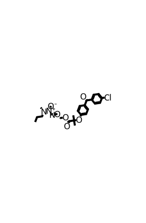 CCCN(C)/[N+]([O-])=N/OCOC(=O)C(C)(C)Oc1ccc(C(=O)c2ccc(Cl)cc2)cc1